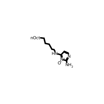 CCCCCCCCCCCCCNc1ccnc(N)[n+]1[O-]